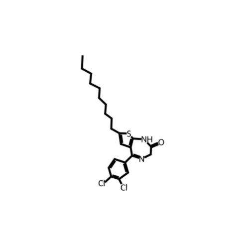 CCCCCCCCCCc1cc2c(s1)NC(=O)CN=C2c1ccc(Cl)c(Cl)c1